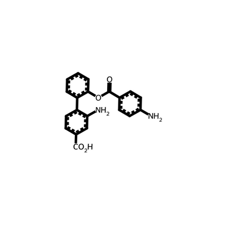 Nc1ccc(C(=O)Oc2ccccc2-c2ccc(C(=O)O)cc2N)cc1